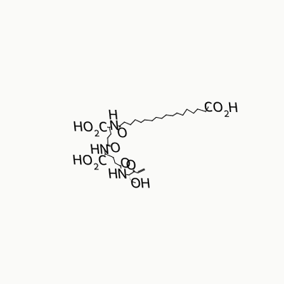 C=CC(=O)[C@H](CO)NC(=O)CC[C@H](NC(=O)CC[C@H](NC(=O)CCCCCCCCCCCCCCCCC(=O)O)C(=O)O)C(=O)O